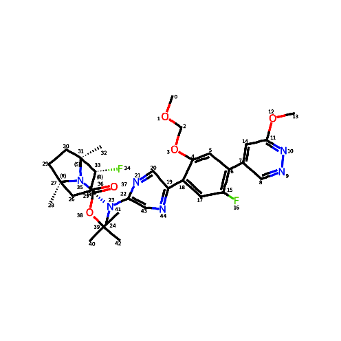 COCOc1cc(-c2cnnc(OC)c2)c(F)cc1-c1cnc(N(C)[C@@H]2C[C@@]3(C)CC[C@@](C)([C@@H]2F)N3C(=O)OC(C)(C)C)cn1